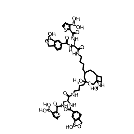 CC1(CCCCNC(=O)[C@H](CNC(=O)c2sccc2B(O)O)NC(=O)c2ccc3c(c2)B(O)OC3)CCC2(NO)CCC2CCC(CCCCNC(=O)[C@H](CNC(=O)c2sccc2B(O)O)NC(=O)c2ccc3c(c2)B(O)OC3)C1